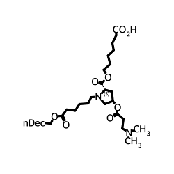 CCCCCCCCCCCOC(=O)CCCCCN1CC(OC(=O)CCN(C)C)C[C@H]1C(=O)OCCCCCCC(=O)O